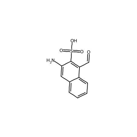 Nc1cc2ccccc2c(C=O)c1S(=O)(=O)O